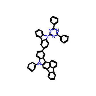 C1=CCCC(n2c3ccc(-c4ccc5c(c4)c4ccccc4n5-c4nc(-c5ccccc5)nc(-c5ccccc5)n4)cc3c3c4cccc5c4c(cc32)-c2ccccc2-5)=C1